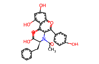 CC(=O)N(c1c(-c2ccc(O)cc2)oc2cc(O)cc(O)c2c1=O)[C@@H](Cc1ccccc1)C(=O)O